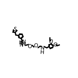 CCOc1ccc(CCNCCOCCOCCn2nnc(-c3cccc(CC4C=CSC4)c3)n2)cc1OCC